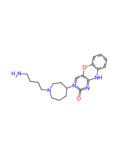 NCCCCN1CCCC(n2cc3c(nc2=O)Nc2ccccc2O3)CC1